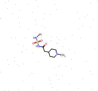 CC(C)NS(=O)(=O)NC(=O)CC1CCN(C)CC1